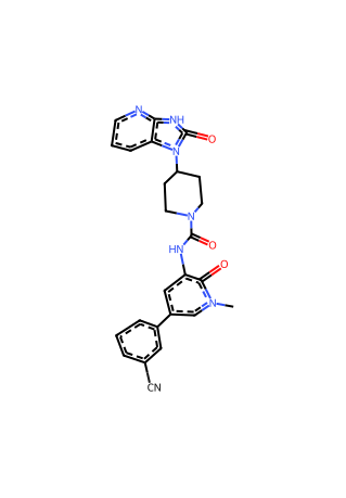 Cn1cc(-c2cccc(C#N)c2)cc(NC(=O)N2CCC(n3c(=O)[nH]c4ncccc43)CC2)c1=O